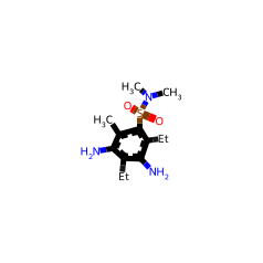 CCc1c(N)c(C)c(S(=O)(=O)N(C)C)c(CC)c1N